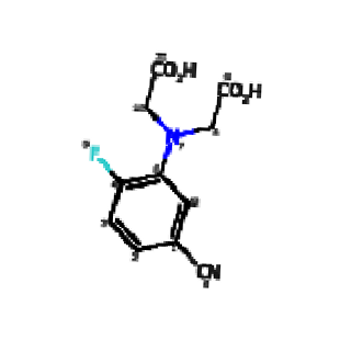 N#Cc1ccc(F)c(N(CC(=O)O)CC(=O)O)c1